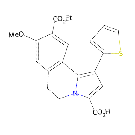 CCOC(=O)c1cc2c(cc1OC)CCn1c(C(=O)O)cc(-c3cccs3)c1-2